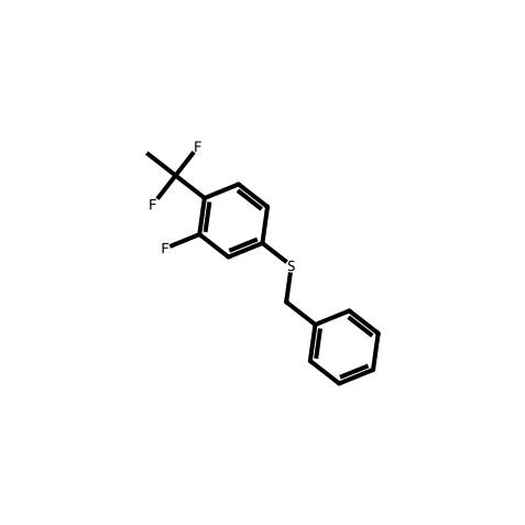 CC(F)(F)c1ccc(SCc2ccccc2)cc1F